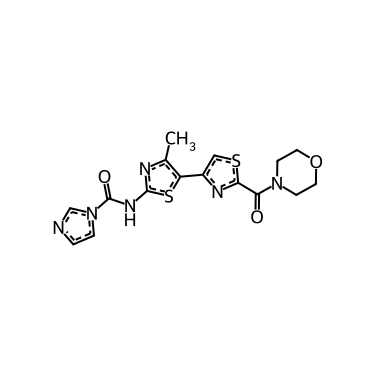 Cc1nc(NC(=O)n2ccnc2)sc1-c1csc(C(=O)N2CCOCC2)n1